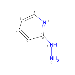 NNc1[c]cccn1